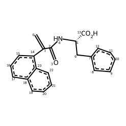 C=C(C(=O)N[C@@H](Cc1ccccc1)C(=O)O)c1cccc2ccccc12